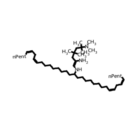 CCCCC/C=C\C/C=C\CCCCCCCCC(CCCCCCCC/C=C\C/C=C\CCCCC)N/C=C(\N)CC(C)(C)CC(C)(C)N(C)C